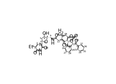 CCc1cn([C@@H]2CC(O)[C@H](CNC(=O)Cc3c(C)cc(OP(=O)(OCc4ccccc4)OCc4ccccc4)cc3C)O2)c(=O)[nH]c1=O